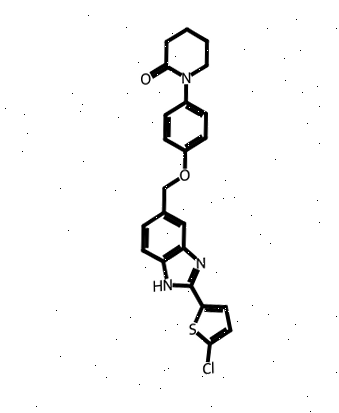 O=C1CCCCN1c1ccc(OCc2ccc3[nH]c(-c4ccc(Cl)s4)nc3c2)cc1